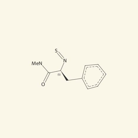 CNC(=O)[C@H](Cc1ccccc1)N=S